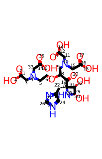 O=C(O)CN(CCOC(CN(CC(=O)O)CC(=O)O)C(=O)[C@]1(Cc2c[nH]cn2)NC(O)C1O)CC(=O)O